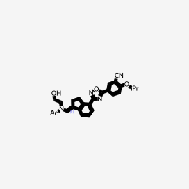 CC(=O)N(/C=C1\CCc2c1cccc2-c1noc(-c2ccc(OC(C)C)c(C#N)c2)n1)CCO